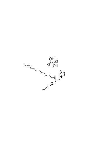 CCCCCCCCCCCCSC(COCCCC)Cn1ccnc1.O=C(O)C(=O)O